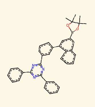 CC1(C)OB(c2cc(-c3cccc(-c4nc(-c5ccccc5)nc(-c5ccccc5)n4)c3)c3ccccc3c2)OC1(C)C